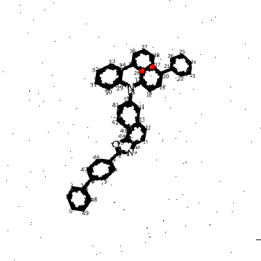 c1ccc(-c2ccc(-c3nc4ccc5cc(N(c6ccc(-c7ccccc7)cc6)c6ccccc6-c6ccccc6)ccc5c4o3)cc2)cc1